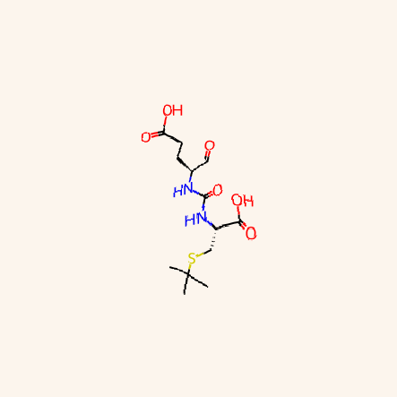 CC(C)(C)SC[C@H](NC(=O)N[C@H](C=O)CCC(=O)O)C(=O)O